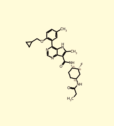 CCC(=O)N[C@H]1CC[C@H](NC(=O)c2c(C)[nH]c3c(-c4cc(C)ccc4OCC4CC4)ncnc23)[C@H](F)C1